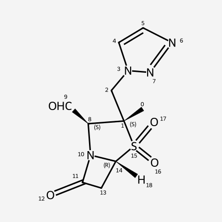 C[C@]1(Cn2ccnn2)[C@H](C=O)N2C(=O)C[C@H]2S1(=O)=O